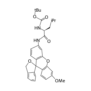 COc1ccc2c(c1)Oc1cc(NC(=O)[C@H](CC(C)C)NC(=O)OC(C)(C)C)ccc1C21OCc2ccccc21